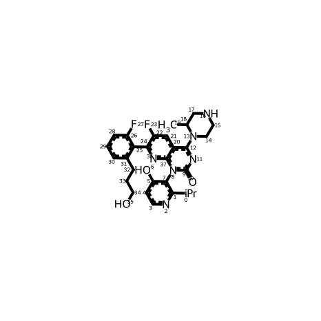 CC(C)c1nccc(O)c1-n1c(=O)nc(N2CCNCC2C)c2cc(F)c(-c3c(F)cccc3CCCO)nc21